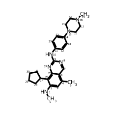 CNc1cc(C)c2cnc(Nc3ccc(N4CCN(C)CC4)cc3)nc2c1C1CCCC1